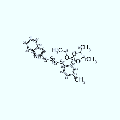 CCO[Si](OCC)(OCC)c1cc(C)ccc1SSSSc1nc2ccccc2s1